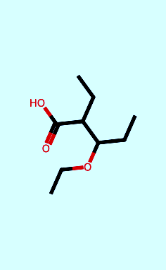 CCOC(CC)C(CC)C(=O)O